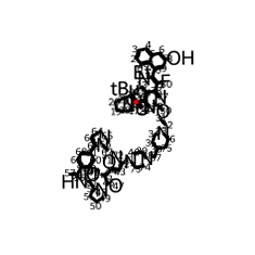 CCc1cccc2cc(O)cc(-c3ncc4c(N5CC6CCC(C5)N6C(=O)OC(C)(C)C)nc(OCCN5CCC(CN6CCN(c7cc(C(C(=O)N8CCCC8C(=O)NC(C)c8ccc(-c9ccnn9C)cc8)C(C)C)on7)CC6)CC5)nc4c3F)c12